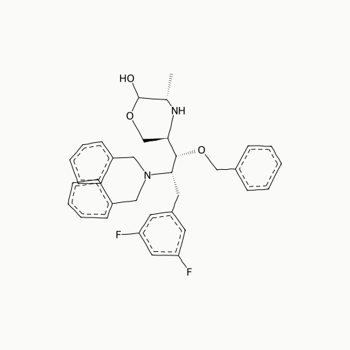 C[C@@H]1N[C@@H]([C@H](OCc2ccccc2)[C@H](Cc2cc(F)cc(F)c2)N(Cc2ccccc2)Cc2ccccc2)COC1O